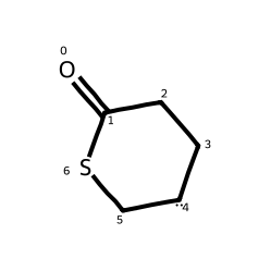 O=C1CC[C]CS1